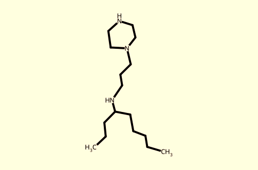 CCCCCC(CCC)NCCCN1CCNCC1